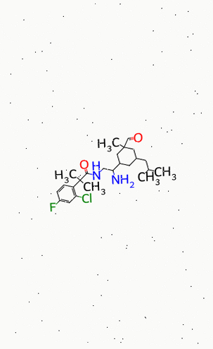 CC(C)CC1CC(C(N)CNC(=O)C(C)(C)c2ccc(F)cc2Cl)CC(C)(C=O)C1